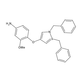 COc1cc(N)ccc1OC1=CN(Cc2ccccc2)S(Cc2ccccc2)=C1